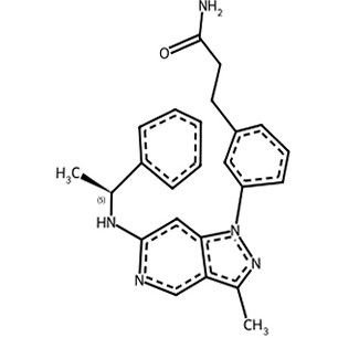 Cc1nn(-c2cccc(CCC(N)=O)c2)c2cc(N[C@@H](C)c3ccccc3)ncc12